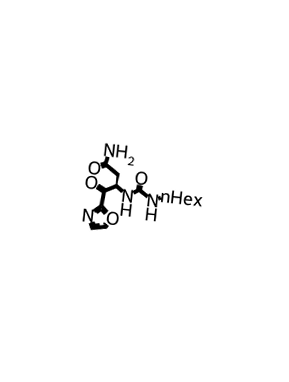 CCCCCCNC(=O)N[C@H](CC(N)=O)C(=O)c1ncco1